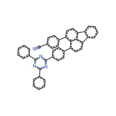 N#Cc1ccc(-c2ccc3c4c(ccc(-c5ccc(-c6nc(-c7ccccc7)nc(-c7ccccc7)n6)cc5)c24)-c2ccccc2-3)cc1